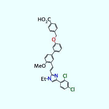 CCn1cc(-c2ccc(Cl)cc2Cl)nc1C=Cc1cc(-c2cccc(OCc3ccc(C(=O)O)cc3)c2)ccc1OC